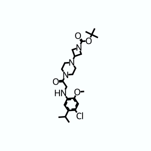 COc1cc(Cl)c(C(C)C)cc1NCC(=O)N1CCN(C2CN(C(=O)OC(C)(C)C)C2)CC1